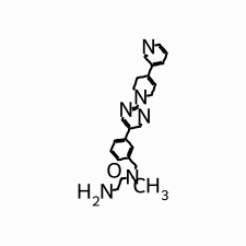 CN(Cc1cccc(-c2cnc(N3CC=C(c4cccnc4)CC3)nc2)c1)C(=O)CN